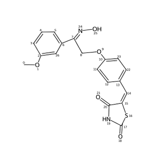 COc1cccc(C(COc2ccc(C=C3SC(=O)NC3=O)cc2)=NO)c1